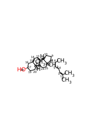 CC(C)=CCCC(C)[C@H]1CC[C@H]2C3=CC=C4CC(O)CC[C@]4(C)[C@H]3CC[C@]12C